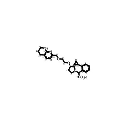 O=C(O)C(c1ccccc1C1CC1)N1CC[C@@H](OCCOCc2ccc3c(n2)NCCC3)C1